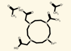 CC(=O)N1CC[N]([Eu+2])CCN(CC(=O)O)CCN(CC(=O)O)CC1.CC(=O)[O-].CC(=O)[O-]